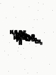 CCOC(=O)[C@H]1CC[C@H](N/C(=C(\C(=N)C(F)(F)F)C(=O)OC)C(F)(F)F)CC1